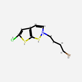 Clc1cc2c(s1)SN(CCCCBr)C=C2